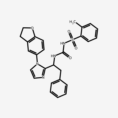 Cc1ccccc1S(=O)(=O)NC(=O)NC(Cc1ccccc1)c1nccn1-c1ccc2c(c1)CCO2